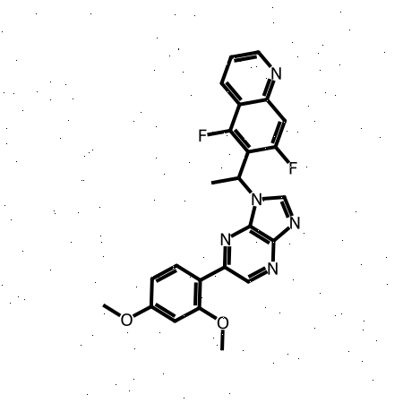 COc1ccc(-c2cnc3ncn(C(C)c4c(F)cc5ncccc5c4F)c3n2)c(OC)c1